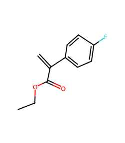 C=C(C(=O)OCC)c1ccc(F)cc1